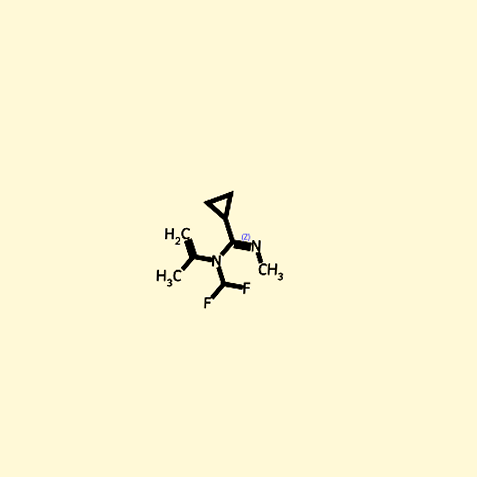 C=C(C)N(/C(=N\C)C1CC1)C(F)F